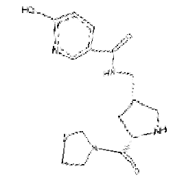 O=C(NC[C@@H]1CN[C@H](C(=O)N2CCSC2)C1)c1ccc(O)nc1